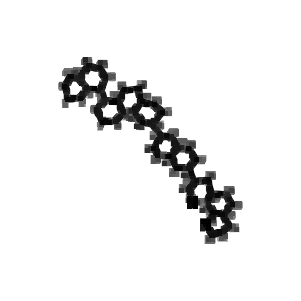 c1ccc2c(-c3cccc4c3ccc3ccc(-c5ccc6cc(-c7cnc8c(ccc9cccnc98)c7)ccc6c5)cc34)cccc2c1